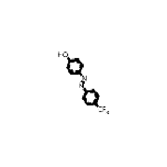 Oc1ccc(/N=N/c2ccc(C(F)(F)F)cc2)cc1